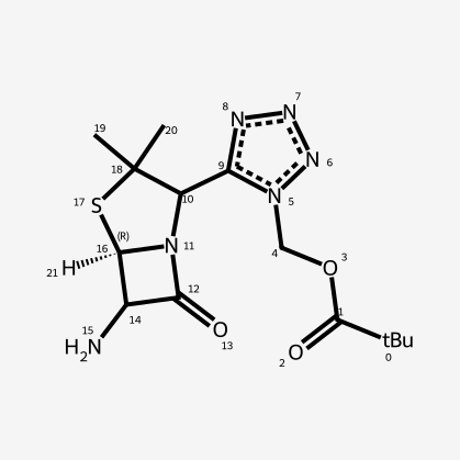 CC(C)(C)C(=O)OCn1nnnc1C1N2C(=O)C(N)[C@H]2SC1(C)C